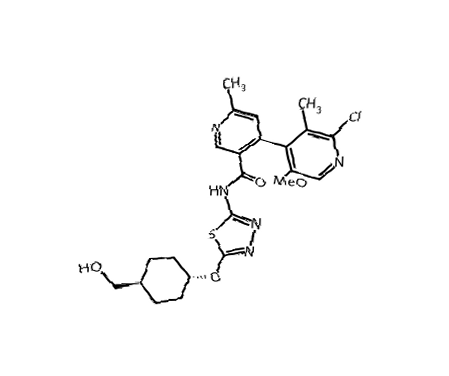 COc1cnc(Cl)c(C)c1-c1cc(C)ncc1C(=O)Nc1nnc(O[C@H]2CC[C@H](CO)CC2)s1